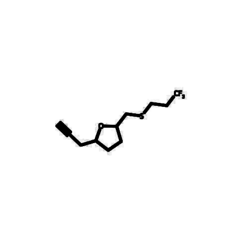 C#CCC1CCC(CSCCC(F)(F)F)O1